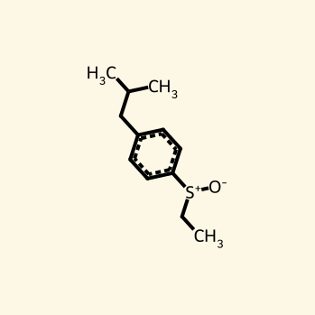 CC[S+]([O-])c1ccc(CC(C)C)cc1